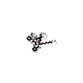 CCCCCCCCC(CCCCCC)n1c(C(C(=O)Nc2ccccc2OC)N2C(=O)OC(C)(C)C2=O)nc2ccccc2c1=O